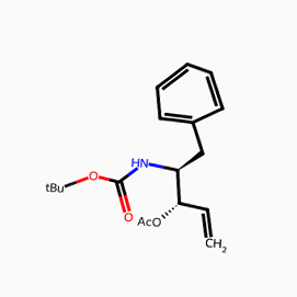 C=C[C@H](OC(C)=O)[C@H](Cc1ccccc1)NC(=O)OC(C)(C)C